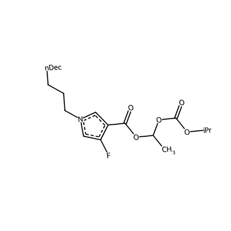 CCCCCCCCCCCCCn1cc(F)c(C(=O)OC(C)OC(=O)OC(C)C)c1